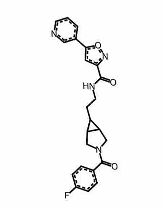 O=C(NCCC1C2CN(C(=O)c3ccc(F)cc3)CC12)c1cc(-c2cccnc2)on1